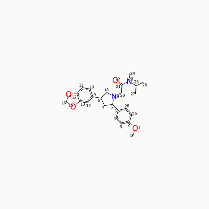 COc1ccc(C2CC(c3ccc4c(c3)OCO4)CN2CC(=O)N(C)C(C)C)cc1